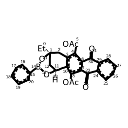 CC[C@]12Cc3c(OC(C)=O)c4c(c(OC(C)=O)c3[C@H](C1)OB(c1ccccc1)O2)C(=O)c1ccccc1C4=O